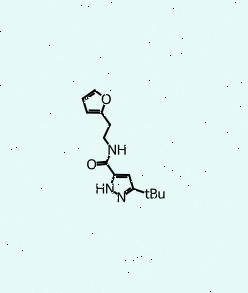 CC(C)(C)c1cc(C(=O)NCCc2ccco2)[nH]n1